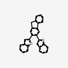 [c]1c2c(cc(-c3cc4ccccc4o3)c1-c1cc3ccccc3o1)-c1ccccc1C2